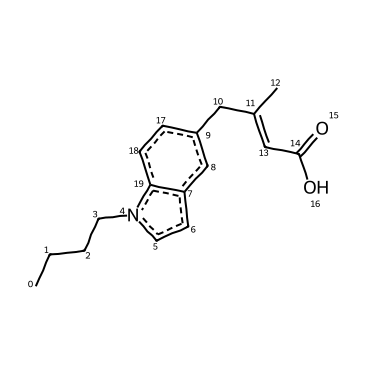 CCCCn1ccc2cc(CC(C)=CC(=O)O)ccc21